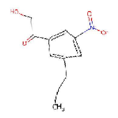 CCCc1cc(C(=O)CO)cc([N+](=O)[O-])c1